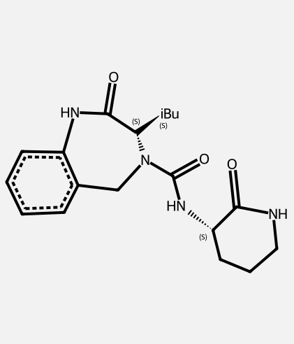 CC[C@H](C)[C@H]1C(=O)Nc2ccccc2CN1C(=O)N[C@H]1CCCNC1=O